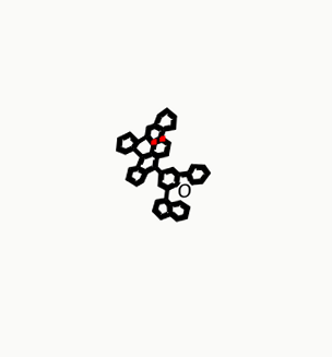 c1ccc(-c2c3ccccc3c(-c3cc(-c4cccc5ccccc45)c4oc5ccccc5c4c3)c3ccccc23)c(-c2ccc3ccccc3c2)c1